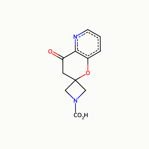 O=C1CC2(CN(C(=O)O)C2)Oc2cccnc21